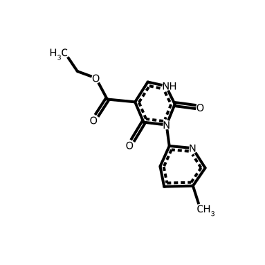 CCOC(=O)c1c[nH]c(=O)n(-c2ccc(C)cn2)c1=O